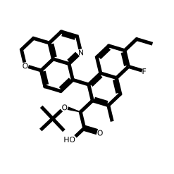 CCc1ccc2c(-c3ccc4c5c(ccnc35)CCO4)c([C@H](OC(C)(C)C)C(=O)O)c(C)cc2c1F